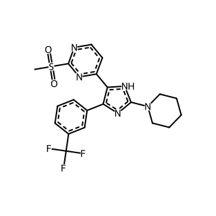 CS(=O)(=O)c1nccc(-c2[nH]c(N3CCCCC3)nc2-c2cccc(C(F)(F)F)c2)n1